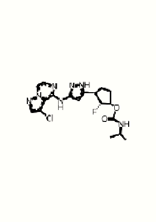 CC(C)NC(=O)O[C@@H]1CC[C@H](c2cc(Nc3nccn4ncc(Cl)c34)n[nH]2)[C@H]1F